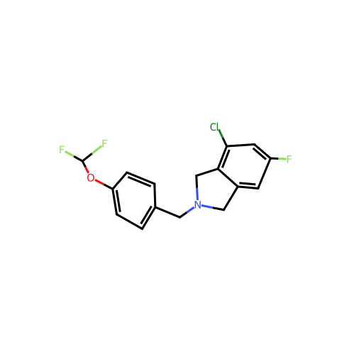 Fc1cc(Cl)c2c(c1)CN(Cc1ccc(OC(F)F)cc1)C2